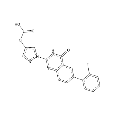 O=C(O)Oc1cnn(-c2nc3ccc(-c4ccccc4F)cc3c(=O)[nH]2)c1